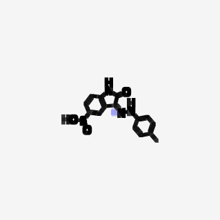 Cc1ccc(N/N=C2\C(=O)Nc3ccc(S(=O)O)cc32)cc1